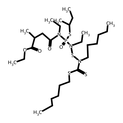 CCCCCCSC(=S)N(CCCCCC)SN(CC)P(=O)(SC(C)CC)N(CC)C(=O)CC(C)C(=O)OCC